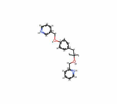 CC(C)([CH]c1ccc(OCc2cccnc2)cc1)OCc1ccccn1